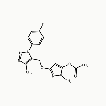 CC(=O)Oc1cc(OCc2c(C)nnn2-c2ccc(F)cc2)nn1C